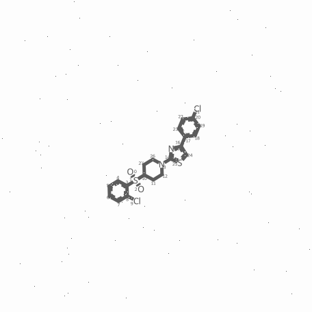 O=S(=O)(c1ccccc1Cl)C1CCN(c2nc(-c3ccc(Cl)cc3)cs2)CC1